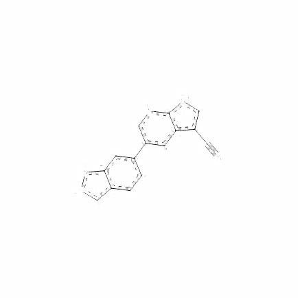 N#Cc1c[nH]c2ncc(-c3ccc4cn[nH]c4c3)cc12